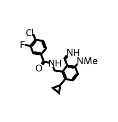 CNc1ccc(C2CC2)c(CNC(=O)c2ccc(Cl)c(F)c2)c1C=N